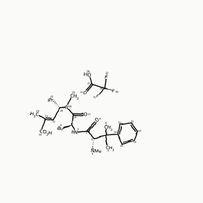 CCC(C)[C@H](NC(=O)[C@@H](NC)C(C)(C)c1ccccc1)C(=O)N(C)[C@H](/C=C(\C)C(=O)O)C(C)C.O=C(O)C(F)(F)F